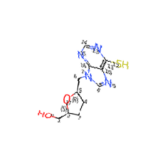 OC[C@@H]1CC[C@H](Cn2cnc3c(S)ncnc32)O1